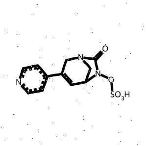 O=C1N2CC(c3ccncc3)=CC(C2)N1OS(=O)(=O)O